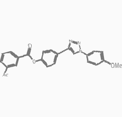 COc1ccc(-n2cc(-c3ccc(OC(=O)c4cccc(C(C)=O)c4)cc3)nn2)cc1